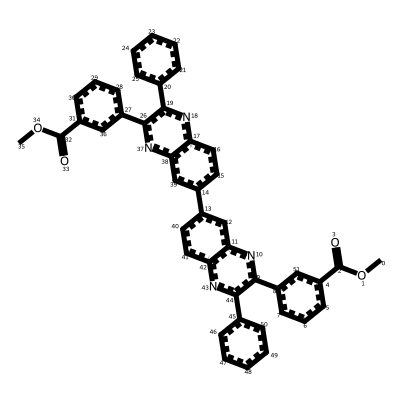 COC(=O)c1cccc(-c2nc3cc(-c4ccc5nc(-c6ccccc6)c(-c6cccc(C(=O)OC)c6)nc5c4)ccc3nc2-c2ccccc2)c1